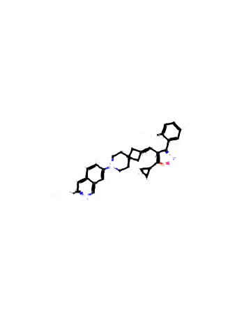 O=C(O)c1cc2ccc(N3CCC4(CC3)CC(=Cc3c(-c5ccccc5C(F)(F)F)noc3C3CC3)C4)cc2cn1